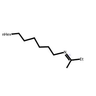 CCCCCCCCCCCC/N=C(\C)CC